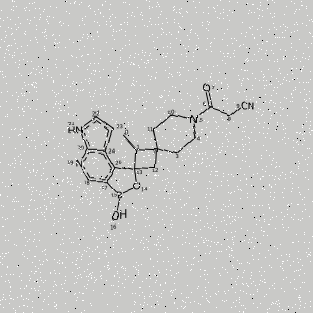 CC1C2(CCN(C(=O)CC#N)CC2)CC12OB(O)c1cnc3[nH]ccc3c12